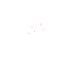 CCC(OP(O)OC(CC)[Si](C)(C)C)[Si](C)(C)C